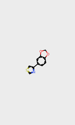 [c]1nc(-c2ccc3c(c2)OCO3)cs1